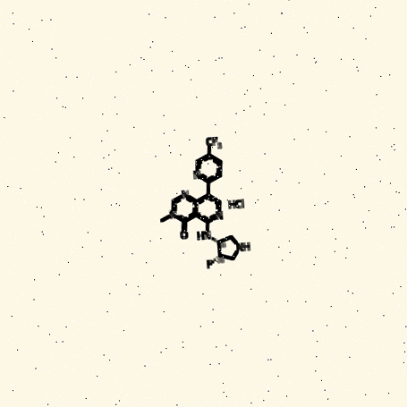 Cl.Cn1cnc2c(-c3ccc(C(F)(F)F)cn3)cnc(N[C@@H]3CNC[C@@H]3F)c2c1=O